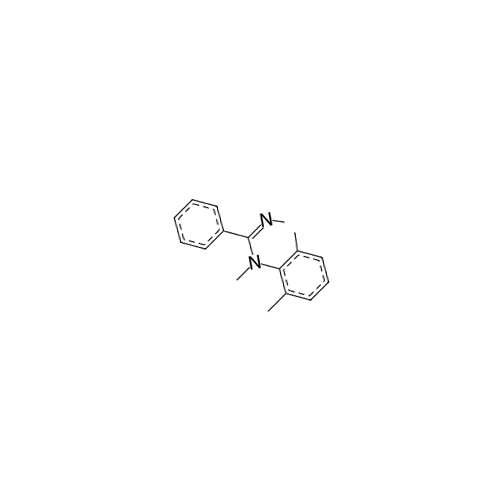 C/N=C(/c1ccccc1)N(C)c1c(C)cccc1C